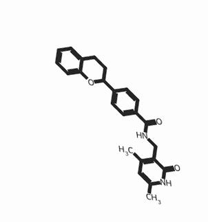 Cc1cc(C)c(CNC(=O)c2ccc(C3CCc4ccccc4O3)cc2)c(=O)[nH]1